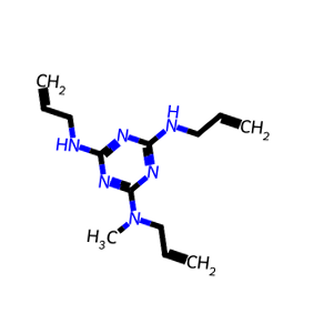 C=CCNc1nc(NCC=C)nc(N(C)CC=C)n1